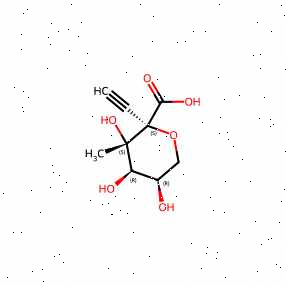 C#C[C@]1(C(=O)O)OC[C@@H](O)[C@@H](O)[C@]1(C)O